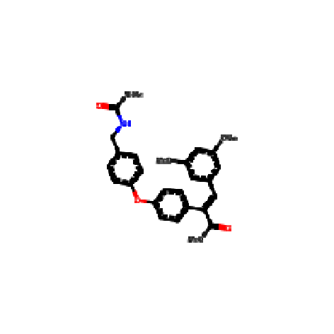 COC(=O)C(=Cc1cc(OC)cc(OC)c1)c1ccc(Oc2ccc(CNC(=O)NC(C)=O)cc2)cc1